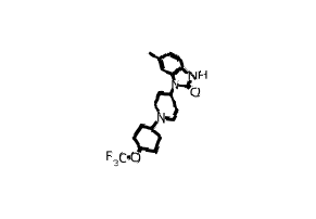 Cc1ccc2[nH]c(=O)n(C3CCN(C4CCC(OC(F)(F)F)CC4)CC3)c2c1